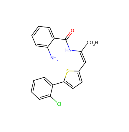 Nc1ccccc1C(=O)N/C(=C\c1ccc(-c2ccccc2Cl)s1)C(=O)O